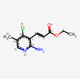 CCOC(=O)/C=C/c1c(N)ncc(C)c1Cl